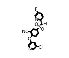 N#Cc1cc(S(=O)(=O)Nc2ccc(F)cn2)ccc1Oc1cncc(Cl)c1